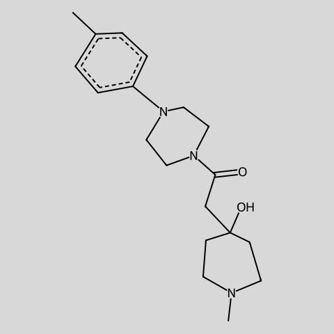 Cc1ccc(N2CCN(C(=O)CC3(O)CCN(C)CC3)CC2)cc1